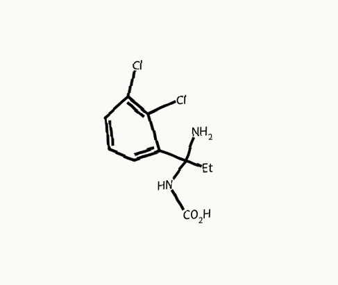 [CH2]CC(N)(NC(=O)O)c1cccc(Cl)c1Cl